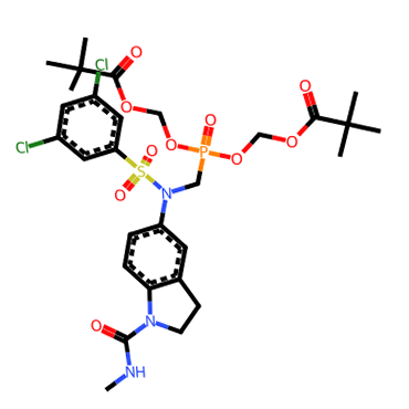 CNC(=O)N1CCc2cc(N(CP(=O)(OCOC(=O)C(C)(C)C)OCOC(=O)C(C)(C)C)S(=O)(=O)c3cc(Cl)cc(Cl)c3)ccc21